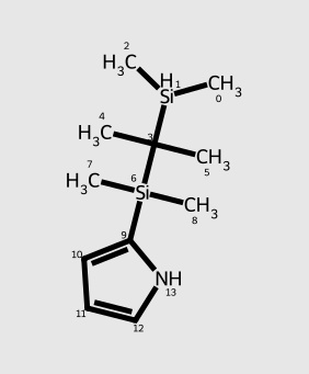 C[SiH](C)C(C)(C)[Si](C)(C)c1ccc[nH]1